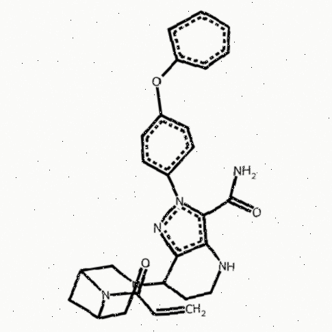 C=CC(=O)N1C2CC1CN(C1CCNc3c1nn(-c1ccc(Oc4ccccc4)cc1)c3C(N)=O)C2